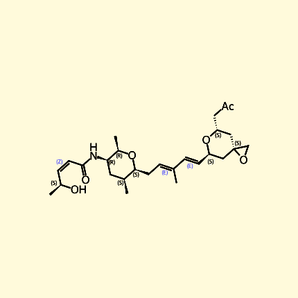 CC(=O)C[C@@H]1C[C@@]2(CO2)C[C@@H](/C=C/C(C)=C/C[C@@H]2O[C@H](C)[C@H](NC(=O)/C=C\[C@H](C)O)C[C@@H]2C)O1